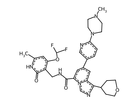 Cc1cc(OC(F)F)c(CNC(=O)c2cc(-c3ccc(N4CCN(C)CC4)nc3)cc3c(C4CCOCC4)ncn23)c(=O)[nH]1